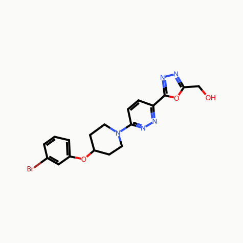 OCc1nnc(-c2ccc(N3CCC(Oc4cccc(Br)c4)CC3)nn2)o1